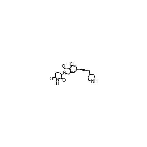 Cl.O=C1CCC(N2Cc3cc(C#CCC4CCNCC4)ccc3C2=O)C(=O)N1